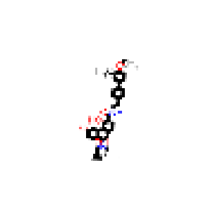 CCN(CC1CC1)[C@@H]1Cc2ccc(C(=O)NCCc3ccc(-c4ccc(OC)c(C)c4)cc3)c(O)c2C2CC(=O)CC[C@]21O